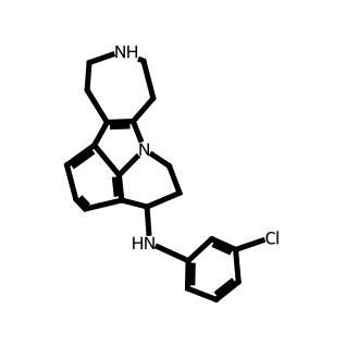 Clc1cccc(NC2CCn3c4c(c5cccc2c53)CCNCC4)c1